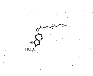 CC(OCCOCCO)Oc1ccc2cc(C(=O)O)[nH]c2c1